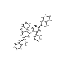 c1ccc(-c2nc(-c3cc4ccccc4cn3)nc(-c3cccc4oc5cc(-c6ccc7ccccc7c6)ccc5c34)n2)cc1